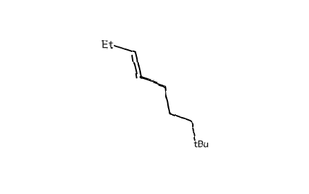 [CH2]CC=CCCCC(C)(C)C